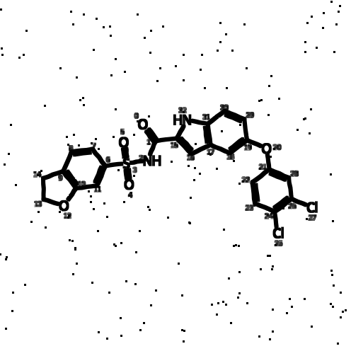 O=C(NS(=O)(=O)c1ccc2c(c1)OCC2)c1cc2cc(Oc3ccc(Cl)c(Cl)c3)ccc2[nH]1